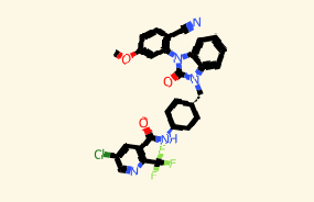 COc1ccc(C#N)c(-n2c(=O)n(C[C@H]3CC[C@H](NC(=O)c4cc(Cl)cnc4C(F)(F)F)CC3)c3ccccc32)c1